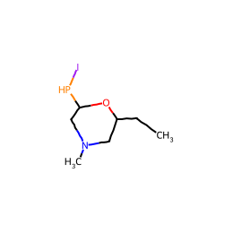 CCC1CN(C)CC(PI)O1